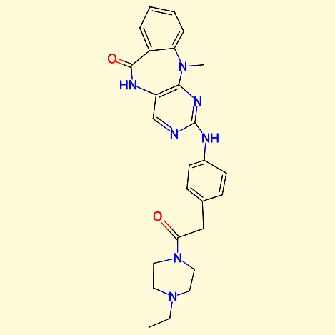 CCN1CCN(C(=O)Cc2ccc(Nc3ncc4c(n3)N(C)c3ccccc3C(=O)N4)cc2)CC1